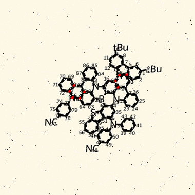 CC(C)(C)c1ccc2c(c1)c1cc(C(C)(C)C)ccc1n2-c1cc2c3c(c1)N(c1ccccc1-c1ccccc1)c1cc(N(c4ccccc4)c4ccc(C#N)cc4)c4c(sc5ccccc54)c1B3c1ccc(N(c3ccccc3)c3ccc(C#N)cc3)cc1N2c1ccccc1-c1ccccc1